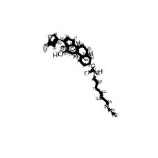 C[C@]12CC[C@H](OC(=O)NCCCCCCN=[N+]=[N-])C[C@H]1CC[C@@H]1[C@@H]2C[C@@H](O)[C@]2(C)[C@@H](C3=CC(=O)OC3)CC[C@]12O